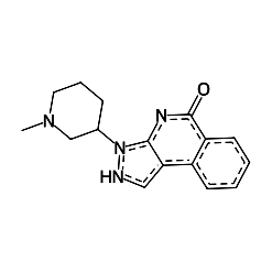 CN1CCCC(n2[nH]cc3c4ccccc4c(=O)nc2-3)C1